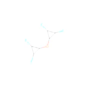 FC1C(F)C1OC1C(F)C1F